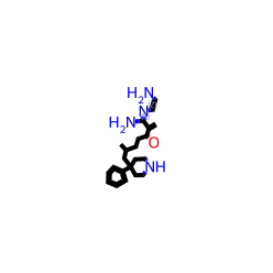 C=C(C(=O)CCC(C)CC1(c2ccccc2)CCNCC1)/C(N)=N\C=C/N